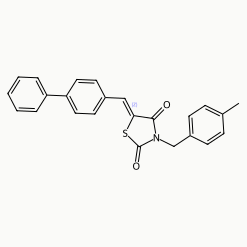 Cc1ccc(CN2C(=O)S/C(=C\c3ccc(-c4ccccc4)cc3)C2=O)cc1